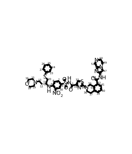 O=C(NS(=O)(=O)c1ccc(N[C@H](CCN2CCOCC2)CSc2ccccc2)c([N+](=O)[O-])c1)c1csc(N2CCc3cccc(C(=O)Nc4cn5ccncc5n4)c3C2)n1